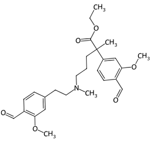 CCOC(=O)C(C)(CCCN(C)CCc1ccc(C=O)c(OC)c1)c1ccc(C=O)c(OC)c1